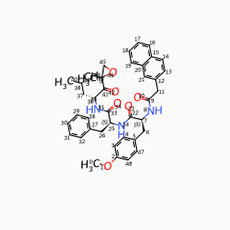 COc1ccc(C[C@H](NC(=O)Cc2ccc3ccccc3c2)C(=O)N[C@@H](Cc2ccccc2)C(=O)N[C@H](CC(C)C)C(=O)C2(C)CO2)cc1